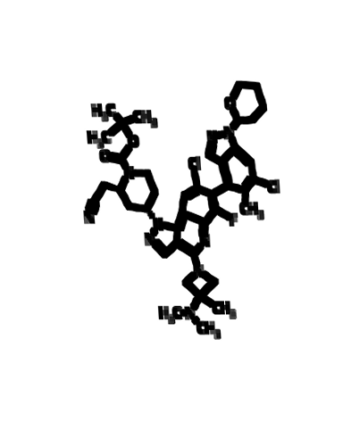 Cc1c(Cl)cc2c(cnn2C2CCCCO2)c1-c1c(Cl)cc2c(nc(N3CC(C)(N(C)C)C3)c3cnn([C@H]4CCN(C(=O)OC(C)(C)C)[C@H](CC#N)C4)c32)c1F